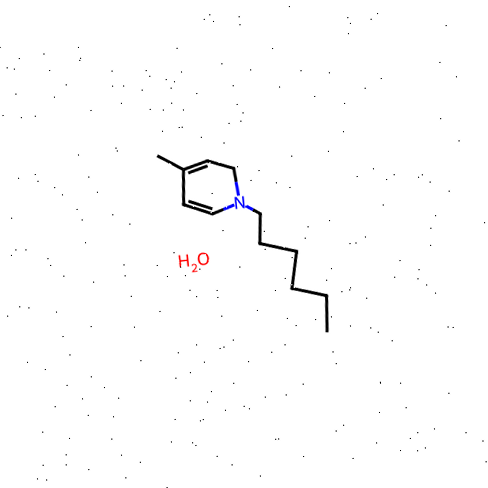 CCCCCCN1C=CC(C)=CC1.O